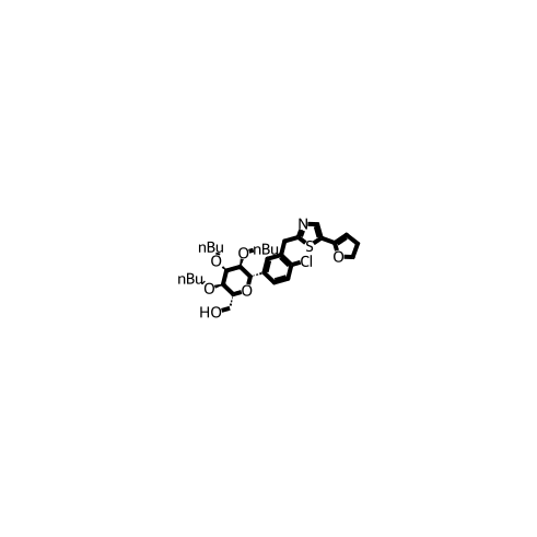 CCCCO[C@@H]1[C@@H](OCCCC)[C@H](c2ccc(Cl)c(Cc3ncc(C4=CCCO4)s3)c2)O[C@H](CO)[C@H]1OCCCC